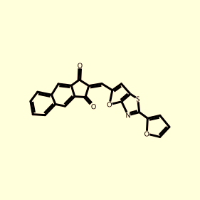 O=C1C(=Cc2cc3sc(-c4ccco4)nc3o2)C(=O)c2cc3ccccc3cc21